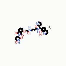 Cc1cc(C(NC(=O)CCCNC(=O)COc2cccc3c2C(=O)N(C2CCC(=O)NC2=O)C3=O)c2cccnc2)c(O)c2ncccc12